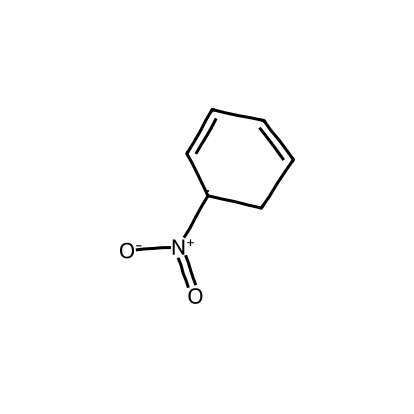 O=[N+]([O-])[C]1C=CC=CC1